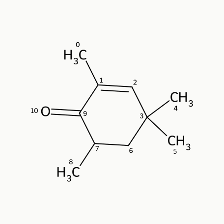 CC1=CC(C)(C)CC(C)C1=O